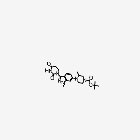 CC1CN(C(=O)OC(C)(C)C)CCN1c1ccc2c(N3CCC(=O)NC3=O)nn(C)c2c1